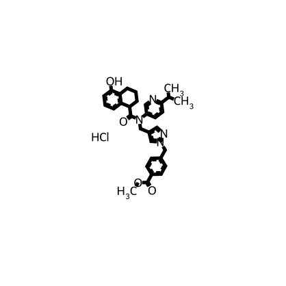 COC(=O)c1ccc(Cn2cc(CN(C(=O)C3CCCc4c(O)cccc43)c3ccc(C(C)C)nc3)cn2)cc1.Cl